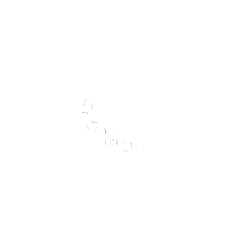 CCCCOc1ccc(-c2ccc(Cl)c(/C=C/C(=O)Nc3ccc(S)cc3)c2)cc1